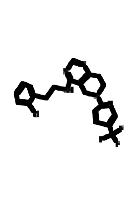 FC(F)(F)c1ccc(N2CCc3ncnc(NCCc4ccccc4Cl)c3C2)nc1